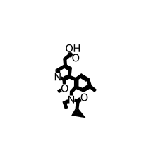 CCN(Cc1cc(C)ccc1-c1cc(CC(=O)O)cnc1OC)C(=O)C1CC1